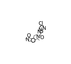 CC1c2ccc3c(c2CCN1C(=O)c1cc2ncc(Cl)cn2n1)C(=O)N(C)C3